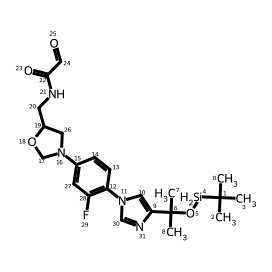 CC(C)(C)[SiH2]OC(C)(C)c1cn(-c2ccc(N3COC(CNC(=O)C=O)C3)cc2F)cn1